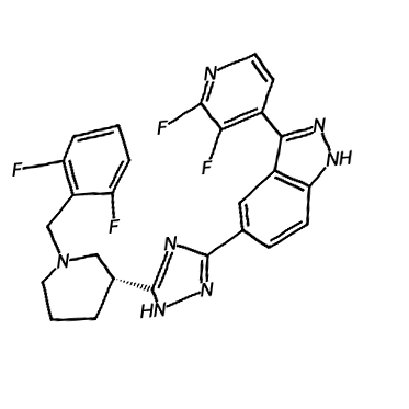 Fc1cccc(F)c1CN1CCC[C@@H](c2nc(-c3ccc4[nH]nc(-c5ccnc(F)c5F)c4c3)n[nH]2)C1